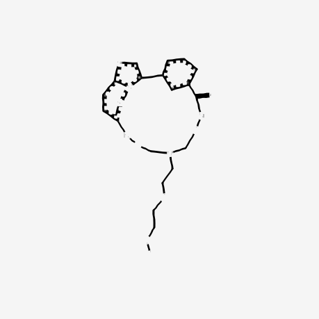 COCCOCCN1CCNC(=O)c2cccc(c2)-c2cnc3ccc(nn23)NCC1